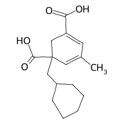 CC1=CC(CC2CCCCC2)(C(=O)O)CC(C(=O)O)=C1